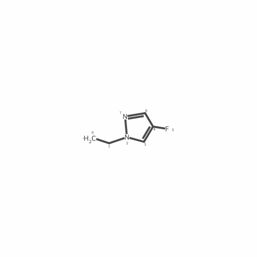 [CH2]Cn1cc(F)cn1